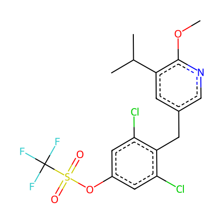 COc1ncc(Cc2c(Cl)cc(OS(=O)(=O)C(F)(F)F)cc2Cl)cc1C(C)C